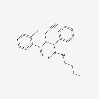 C#CCN(C(=O)c1ccccc1I)C(C(=O)NCCCC)c1ccccc1